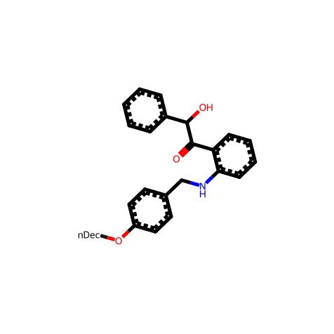 CCCCCCCCCCOc1ccc(CNc2ccccc2C(=O)C(O)c2ccccc2)cc1